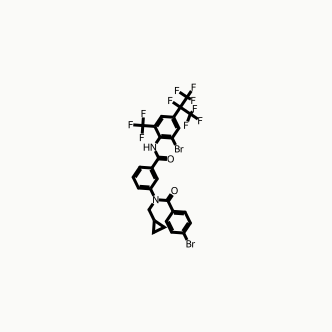 O=C(Nc1c(Br)cc(C(F)(C(F)(F)F)C(F)(F)F)cc1C(F)(F)F)c1cccc(N(CC2CC2)C(=O)c2ccc(Br)cc2)c1